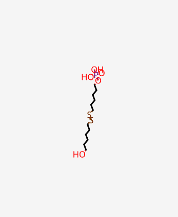 O=P(O)(O)OCCCCCCSSCCCCCCO